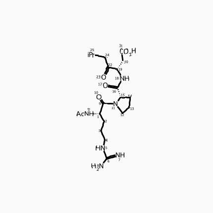 CC(=O)N[C@@H](CCCNC(=N)N)C(=O)N1CCC[C@H]1C(=O)N[C@@H](CC(=O)O)C(=O)[CH]C(C)C